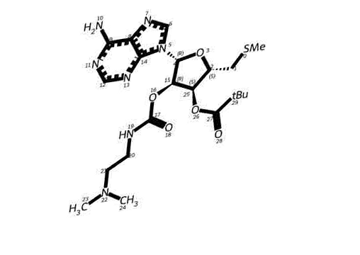 CSC[C@H]1O[C@@H](n2cnc3c(N)ncnc32)[C@H](OC(=O)NCCN(C)C)[C@@H]1OC(=O)C(C)(C)C